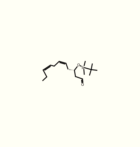 CC/C=C\C/C=C\C[C@@H](CC=O)O[Si](C)(C)C(C)(C)C